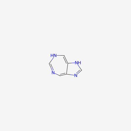 C1=NC=c2nc[nH]c2=CN1